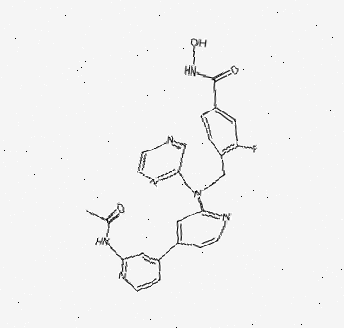 CC(=O)Nc1cc(-c2ccnc(N(Cc3ccc(C(=O)NO)cc3F)c3cnccn3)c2)ccn1